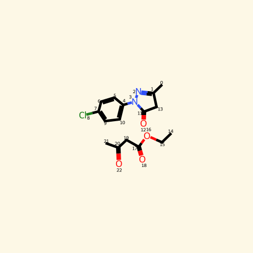 CC1=NN(c2ccc(Cl)cc2)C(=O)C1.CCOC(=O)CC(C)=O